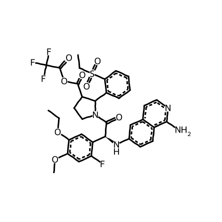 CCOc1cc([C@H](Nc2ccc3c(N)nccc3c2)C(=O)N2CCC(C(=O)OC(=O)C(F)(F)F)C2c2ccccc2S(=O)(=O)CC)c(F)cc1OC